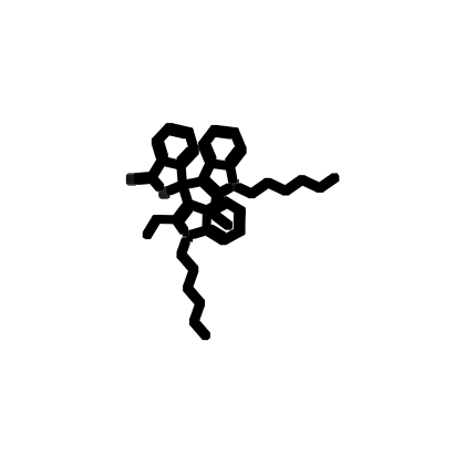 CCCCCCn1c(CC)c(C2(c3c(CC)n(CCCCCC)c4ccccc34)OC(=O)c3ccccc32)c2ccccc21